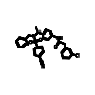 C[C@@H](c1ccc(NC(=O)Cc2cccc(Cl)c2)cc1)N(Cc1ccccn1)S(=O)(=O)c1ccc(C#N)cc1